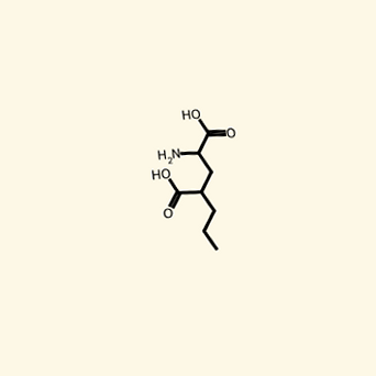 CCCC(CC(N)C(=O)O)C(=O)O